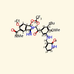 CCOc1cc2c(cc1C(=O)NC)C(=N)N(CC(=O)c1cc(NCc3ccc[nH]c3=O)c(OC)c(C(C)(C)C)c1)C2OC(=O)C(F)(F)F